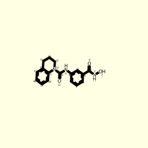 O=C(NO)c1cccc(NC(=O)N2CCCc3ccccc32)c1